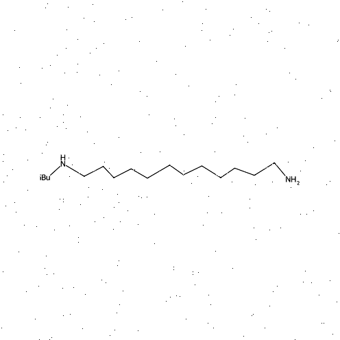 CCC(C)NCCCCCCCCCCCCN